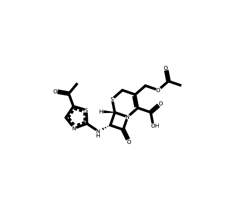 CC(=O)OCC1=C(C(=O)O)N2C(=O)[C@H](Nc3ncc(C(C)=O)s3)[C@@H]2SC1